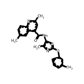 Cc1cccc(Oc2nc(C)c(NC(=O)c3cc(C)nc4ccc(C)cc34)s2)c1